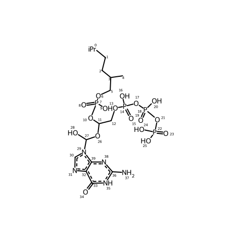 CC(C)CCC(C)COP(=O)(O)OC(COP(=O)(O)OP(=O)(O)OP(=O)(O)O)OC(O)n1cnc2c(=O)[nH]c(N)nc21